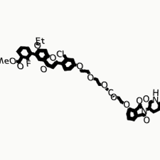 CCOc1cc2oc(-c3ccc(OCCOCCOCCOCCOc4cccc5c4C(=O)N(C4CCC(=O)NC4=O)C5=O)cc3Cl)cc(=O)c2cc1C1=CC=CC(C(=O)OC)C1F